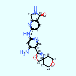 Nc1cc(Nc2ccc3c(n2)CNC3=O)ncc1C1=NC2(CCOCC2)CO1